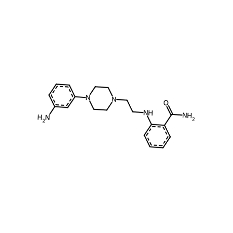 NC(=O)c1ccccc1NCCN1CCN(c2cccc(N)c2)CC1